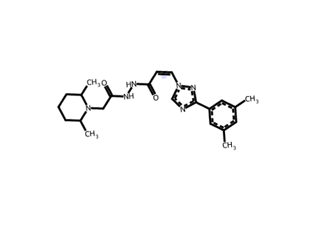 Cc1cc(C)cc(-c2ncn(/C=C\C(=O)NNC(=O)CN3C(C)CCCC3C)n2)c1